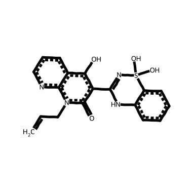 C=CCn1c(=O)c(C2=NS(O)(O)c3ccccc3N2)c(O)c2cccnc21